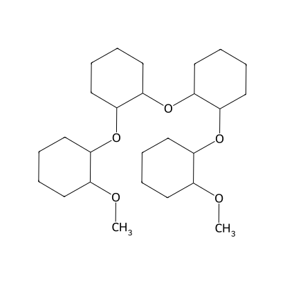 COC1CCCCC1OC1CCCCC1OC1CCCCC1OC1CCCCC1OC